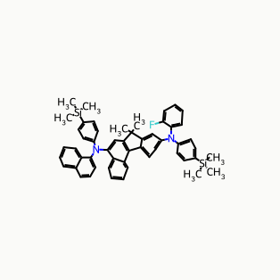 CC1(C)c2cc(N(c3ccc([Si](C)(C)C)cc3)c3ccccc3F)ccc2-c2c1cc(N(c1ccc([Si](C)(C)C)cc1)c1cccc3ccccc13)c1ccccc21